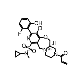 C=CC(=O)N1CCN2Cc3c(S(=O)(=O)N(C)C4CC4)nc(-c4c(O)cccc4F)c(Cl)c3OC[C@H]2C1